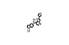 c1cc(Nc2ccc3[nH]ccc3c2)c2sc(-c3ccsc3)cc2n1